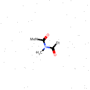 [CH2]N(C(=O)CC)C(=O)NC